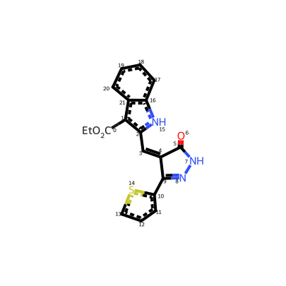 CCOC(=O)c1c(C=C2C(=O)NN=C2c2cccs2)[nH]c2ccccc12